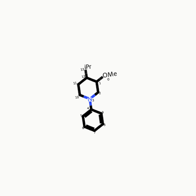 COC1CN(c2ccccc2)CCC1C(C)C